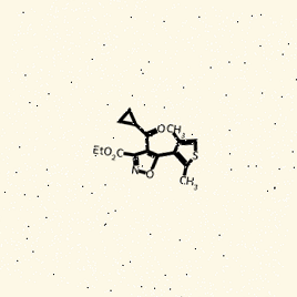 CCOC(=O)c1noc(-c2c(C)csc2C)c1C(=O)C1CC1